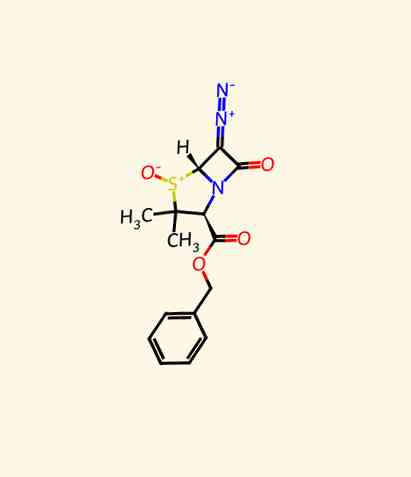 CC1(C)[C@H](C(=O)OCc2ccccc2)N2C(=O)C(=[N+]=[N-])[C@H]2[S+]1[O-]